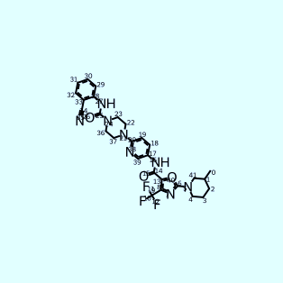 CC1CCCN(c2nc(C(F)(F)F)c(C(=O)Nc3ccc(N4CCN(C(=O)Nc5ccccc5C#N)CC4)nc3)o2)C1